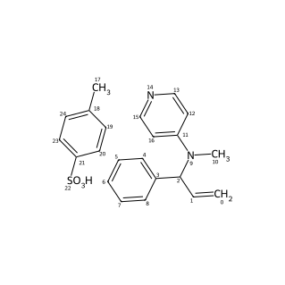 C=CC(c1ccccc1)N(C)c1ccncc1.Cc1ccc(S(=O)(=O)O)cc1